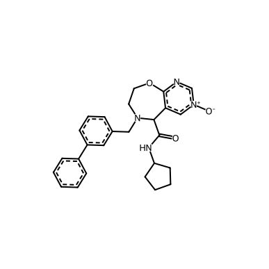 O=C(NC1CCCC1)C1c2c[n+]([O-])cnc2OCCN1Cc1cccc(-c2ccccc2)c1